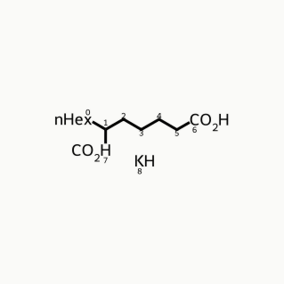 CCCCCCC(CCCCC(=O)O)C(=O)O.[KH]